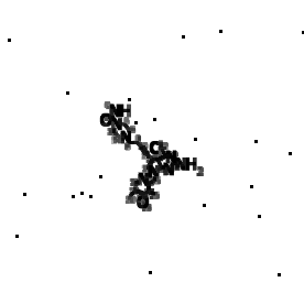 CNC(=O)N1CCN(CCC#Cc2cn(Cc3ncc(C)c(OC)c3C)c3nc(N)nc(Cl)c23)CC1